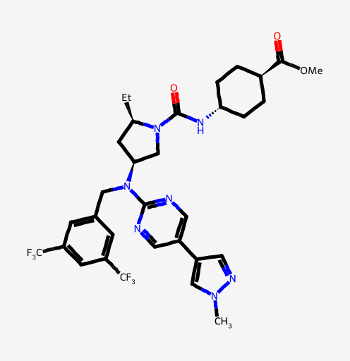 CC[C@@H]1C[C@H](N(Cc2cc(C(F)(F)F)cc(C(F)(F)F)c2)c2ncc(-c3cnn(C)c3)cn2)CN1C(=O)N[C@H]1CC[C@H](C(=O)OC)CC1